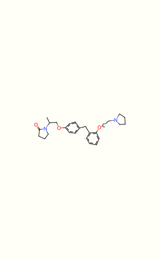 CC(COc1ccc(Cc2[c]cccc2OCCN2CCCC2)cc1)N1CCCC1=O